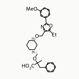 CCc1oc(-c2cccc(OC)c2)nc1CO[C@H]1CCC[C@@H](COC(C)(Cc2ccccc2)C(=O)O)C1